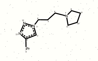 CC(C)c1cn(CCCN2CCCC2)nn1